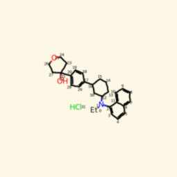 CCN(c1cccc2ccccc12)C1CCCC(c2ccc(C3(O)CCOCC3)cc2)C1.Cl